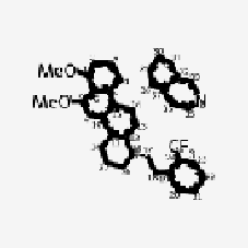 COc1cccc2c1c(OC)cc1c3c(ccc12)[C@H](CCc1ccccc1C(F)(F)F)CCC3.c1ccc2cnccc2c1